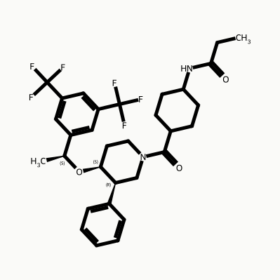 CCC(=O)NC1CCC(C(=O)N2CC[C@H](O[C@@H](C)c3cc(C(F)(F)F)cc(C(F)(F)F)c3)[C@H](c3ccccc3)C2)CC1